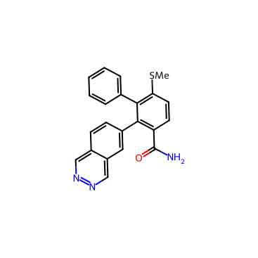 CSc1ccc(C(N)=O)c(-c2ccc3cnncc3c2)c1-c1ccccc1